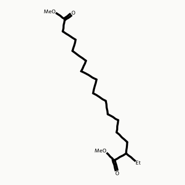 CCC(CCCCCCCCCCCCC(=O)OC)C(=O)OC